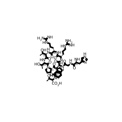 C[C@@H](O)[C@H](NC(=O)[C@@H]1CCCN1C(=O)[C@@H]1CCCN1C(=O)[C@@H](NC(=O)[C@@H](NC(=O)[C@H](CCCNC(=N)N)NC(=O)[C@H](CCCNC(=N)N)NC(=O)[C@H](Cc1ccccc1)NC(=O)CNC(=O)[C@@H](N)Cc1c[nH]cn1)[C@@H](C)O)[C@@H](C)O)C(=O)O